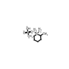 CC1CCCC[Si]1(C)C.CS(=O)(=O)O